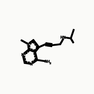 CC(C)NCC#Cc1cn(C)c2ncnc(N)c12